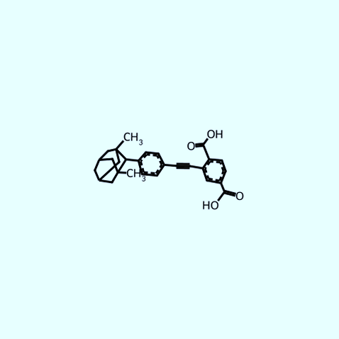 CC12CC3CC(C1)CC(C)(C3)C2c1ccc(C#Cc2cc(C(=O)O)ccc2C(=O)O)cc1